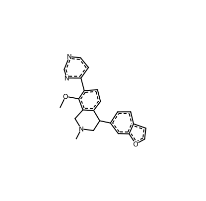 COc1c(-c2ccncn2)ccc2c1CN(C)CC2c1ccc2ccoc2c1